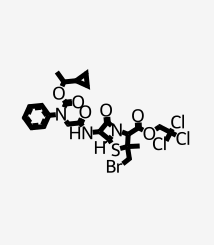 CC(OC(=O)N(CC(=O)NC1C(=O)N2C(C(=O)OCC(Cl)(Cl)Cl)C(C)(CBr)S[C@@H]12)c1ccccc1)C1CC1